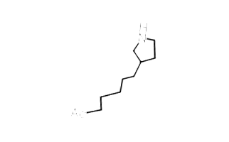 CC(=O)CCCCCC1CCNC1